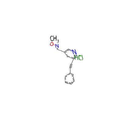 CO/N=C/c1cncc(C#Cc2ccccc2)c1.Cl